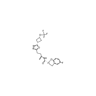 C=C(CCc1nnc([C@H]2C[C@@H](OC(F)(F)F)C2)o1)NC(=O)[C@H]1CCc2cc(F)ccc2O1